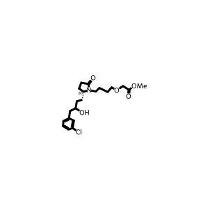 COC(=O)COCCCCN1C(=O)CC[C@H]1CCC(O)Cc1cccc(Cl)c1